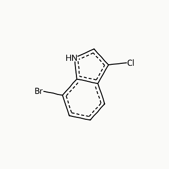 Clc1c[nH]c2c(Br)cccc12